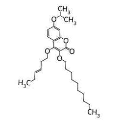 CC/C=C/CCOc1c(OCCCCCCCCCC)c(=O)oc2cc(OC(C)C)ccc12